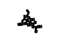 C=CCOC(O)(C(CC)CC(C)(C)C)C(O)(O)C(=O)[O][Ti](=[O])[OH]